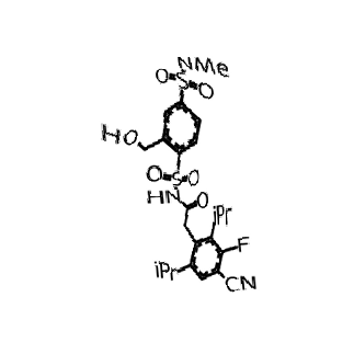 CNS(=O)(=O)c1ccc(S(=O)(=O)NC(=O)Cc2c(C(C)C)cc(C#N)c(F)c2C(C)C)c(CO)c1